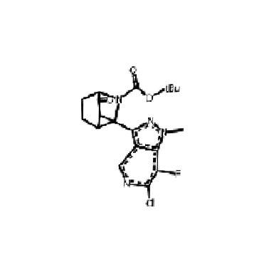 Cn1nc(C2C(=O)C3CCC2CN3C(=O)OC(C)(C)C)c2cnc(Cl)c(F)c21